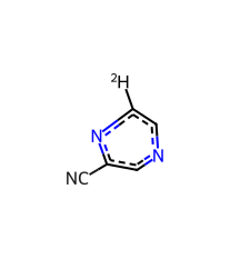 [2H]c1cncc(C#N)n1